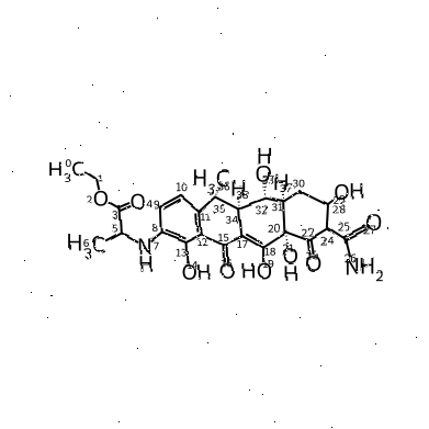 CCOC(=O)C(C)Nc1ccc2c(c1O)C(=O)C1=C(O)[C@]3(O)C(=O)C(C(N)=O)C(O)C[C@@H]3[C@@H](O)[C@@H]1[C@H]2C